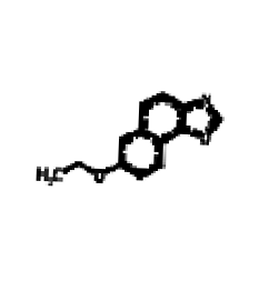 CCOc1ccc2c(ccc3ncoc32)c1